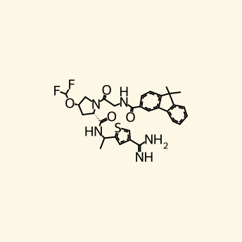 CC(NC(=O)[C@@H]1C[C@@H](OC(F)F)CN1C(=O)CNC(=O)c1ccc2c(c1)-c1ccccc1C2(C)C)c1cc(C(=N)N)cs1